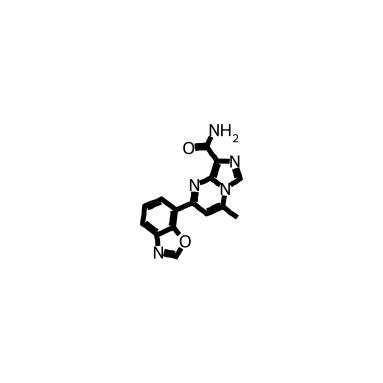 Cc1cc(-c2cccc3ncoc23)nc2c(C(N)=O)ncn12